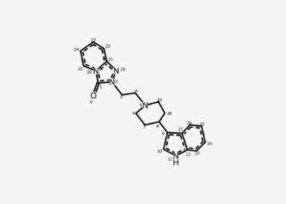 O=c1n(CCN2CCC(c3c[nH]c4ccccc34)CC2)nc2ccccn12